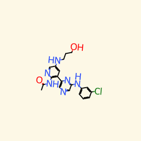 CC(=O)Nc1ncc(NCCCO)cc1-c1cncc(Nc2cccc(Cl)c2)n1